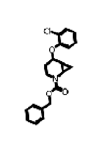 O=C(OCc1ccccc1)N1CCC(Oc2ccccc2Cl)C2CC21